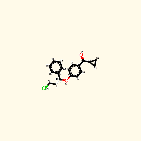 O=C(c1ccc(O[C@H](CCCl)c2ccccc2)cc1)C1CC1